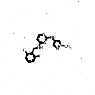 Cn1cc(Nc2nccc(NCc3c(F)cccc3F)n2)cn1